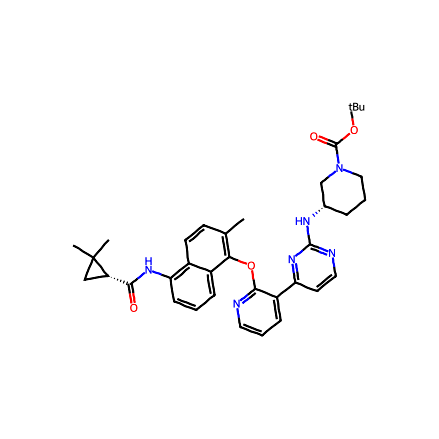 Cc1ccc2c(NC(=O)[C@@H]3CC3(C)C)cccc2c1Oc1ncccc1-c1ccnc(N[C@H]2CCCN(C(=O)OC(C)(C)C)C2)n1